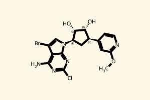 COc1cc([C@H]2C[C@@H](n3cc(Br)c4c(N)nc(Cl)nc43)[C@H](O)[C@@H]2O)ccn1